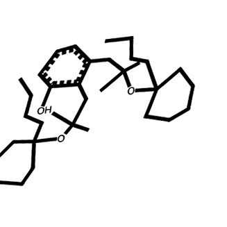 CCCCC1(OC(C)(C)Cc2cccc(O)c2CC(C)(C)OC2(CCCC)CCCCC2)CCCCC1